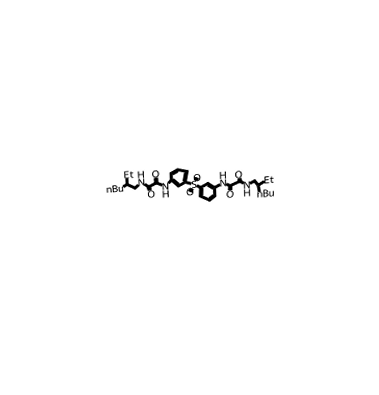 CCCCC(CC)CNC(=O)C(=O)Nc1cccc(S(=O)(=O)c2cccc(NC(=O)C(=O)NCC(CC)CCCC)c2)c1